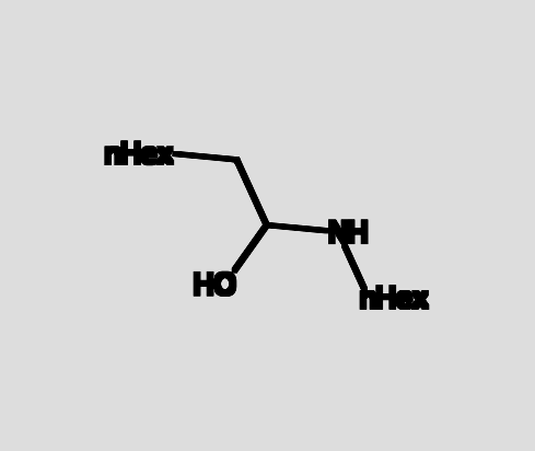 CCCCCCCC(O)NCCCCCC